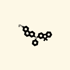 CC(C)c1ccc2c(ccc3cc(N(c4ccccc4)c4ccc5c(c4)C(C)(C)c4ccccc4-5)ccc32)c1